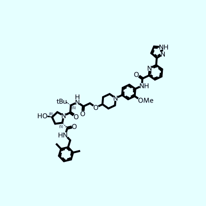 COc1cc(N2CCC(OCC(=O)N[C@H](C(=O)N3C[C@H](O)C[C@H]3C(=O)NCc3c(C)cccc3C)C(C)(C)C)CC2)ccc1NC(=O)c1cccc(-c2cc[nH]n2)n1